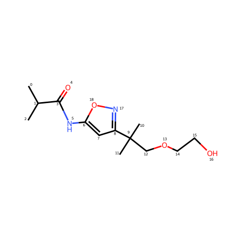 CC(C)C(=O)Nc1cc(C(C)(C)COCCO)no1